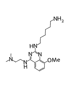 COc1cccc2c(NCCN(C)C)nc(NCCCCCCN)nc12